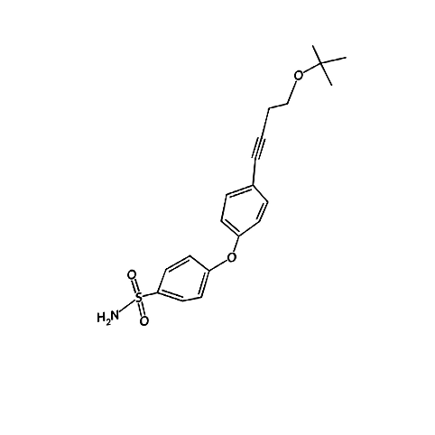 CC(C)(C)OCCC#Cc1ccc(Oc2ccc(S(N)(=O)=O)cc2)cc1